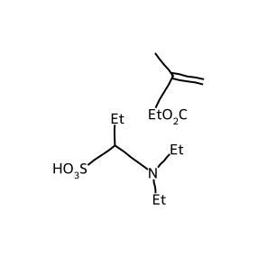 C=C(C)C(=O)OCC.CCC(N(CC)CC)S(=O)(=O)O